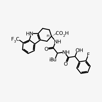 CCC(C)C(NC(=O)C(O)c1ccccc1F)C(=O)N[C@]1(C(=O)O)CCc2[nH]c3c(C(F)(F)F)cccc3c2C1